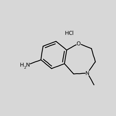 CN1CCOc2ccc(N)cc2C1.Cl